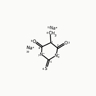 CC1C(=O)[N-]C(=S)[N-]C1=O.[Na+].[Na+]